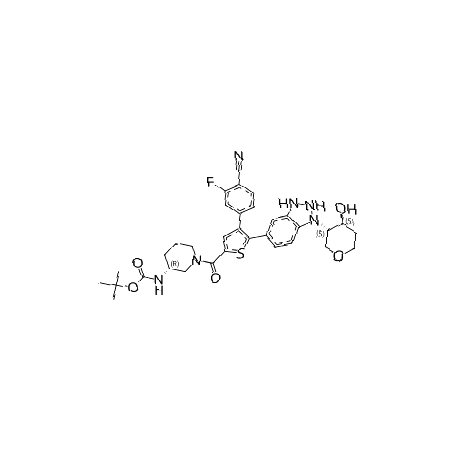 CC(C)(C)OC(=O)N[C@@H]1CCCN(C(=O)c2cc(-c3ccc(C#N)c(F)c3)c(-c3ccc4c(c3)NNN4[C@H]3COCC[C@@H]3O)s2)C1